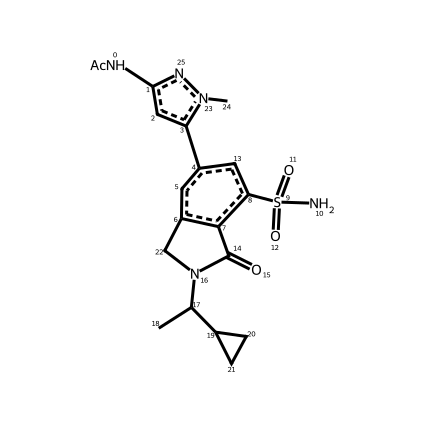 CC(=O)Nc1cc(-c2cc3c(c(S(N)(=O)=O)c2)C(=O)N(C(C)C2CC2)C3)n(C)n1